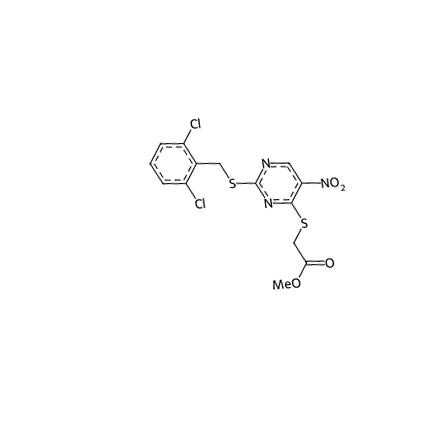 COC(=O)CSc1nc(SCc2c(Cl)cccc2Cl)ncc1[N+](=O)[O-]